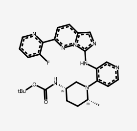 C[C@@H]1CC[C@H](NC(=O)OC(C)(C)C)CN1c1ccncc1Nc1ncc2ccc(-c3ncccc3F)nn12